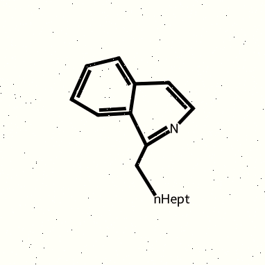 CCCCCCCCc1nccc2ccccc12